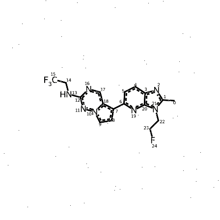 Cc1nc2ccc(-c3ccn4nc(NCC(F)(F)F)ncc34)nc2n1CCF